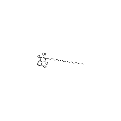 CCCCCCCCCCCCCCCCC1=C(O)C(=O)c2cccc(S)c2C1=O